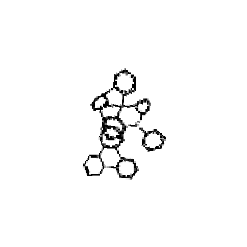 C1=CCC2C(=C1)c1cc(-c3cccc4c3C3(c5ccccc5-4)c4ccccc4N(c4ccccc4)c4ccccc43)ccc1-c1ccccc12